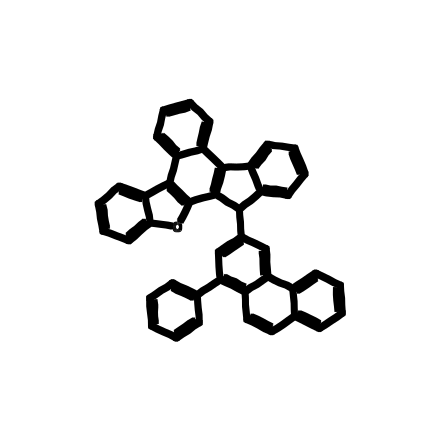 c1ccc(-c2cc(C3c4ccccc4-c4c3c3oc5ccccc5c3c3ccccc43)cc3c2ccc2ccccc23)cc1